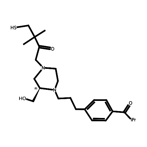 CC(C)C(=O)c1ccc(CCCN2CCN(CC(=O)C(C)(C)CS)C[C@@H]2CO)cc1